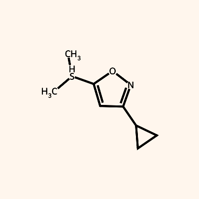 C[SH](C)c1cc(C2CC2)no1